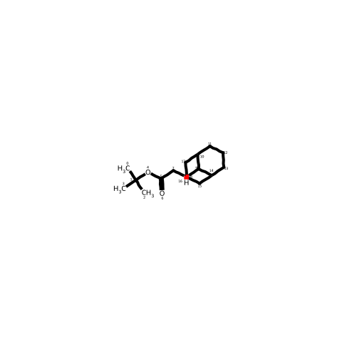 CC(C)(C)OC(=O)CNC1C2CCCC1CCC2